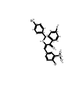 O=C(/C(=C\c1ccc(F)c([N+](=O)[O-])c1)SCc1ccc(Br)cc1)c1ccc(F)cc1